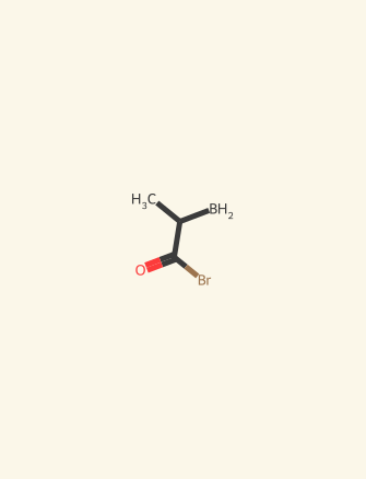 BC(C)C(=O)Br